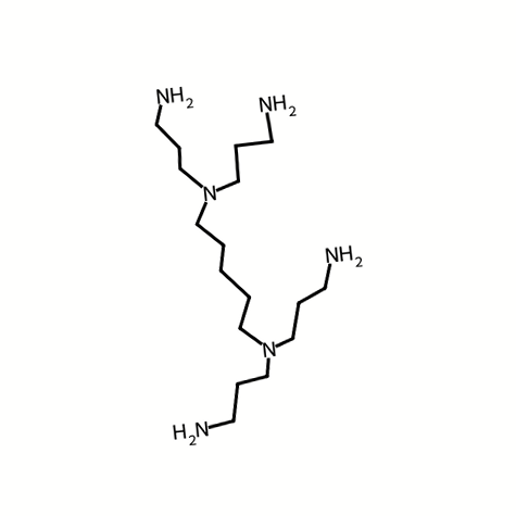 NCCCN(CCCN)CCCCCN(CCCN)CCCN